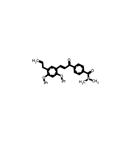 C=CCc1cc(C=CC(=O)c2ccc(C(=O)N(C)C)cc2)c(OC(C)C)cc1OC(C)C